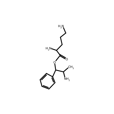 CC(N)C(OC(=O)C(N)CCCN)c1ccccc1